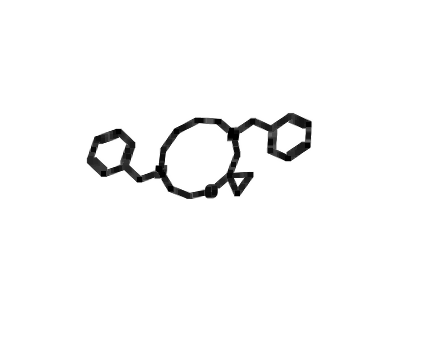 c1ccc(CN2CCCCN(Cc3ccccc3)CC3(CC3)OCC2)cc1